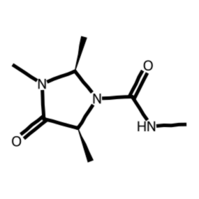 CNC(=O)N1[C@H](C)N(C)C(=O)[C@@H]1C